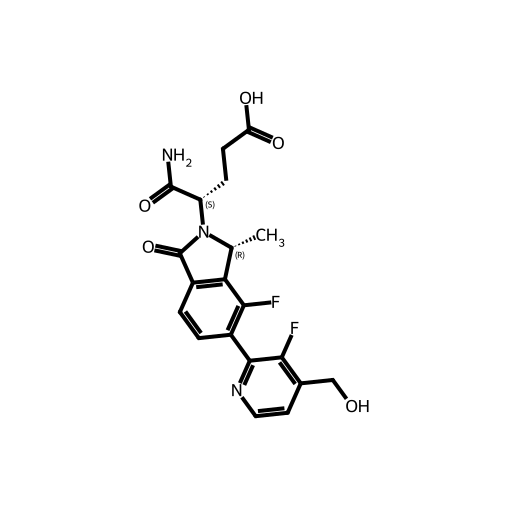 C[C@@H]1c2c(ccc(-c3nccc(CO)c3F)c2F)C(=O)N1[C@@H](CCC(=O)O)C(N)=O